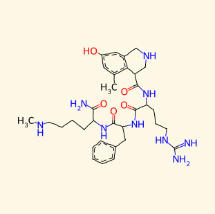 CNCCCCC(NC(=O)C(Cc1ccccc1)NC(=O)C(CCCNC(=N)N)NC(=O)C1CNCc2cc(O)cc(C)c21)C(N)=O